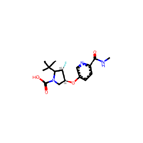 CNC(=O)c1ccc(O[C@H]2CN(C(=O)O)C(C(C)(C)C)[C@@H]2F)cn1